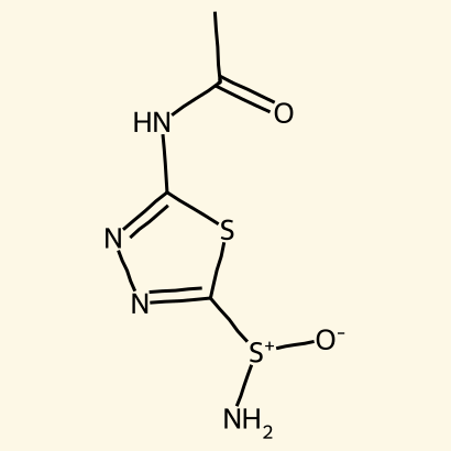 CC(=O)Nc1nnc([S+](N)[O-])s1